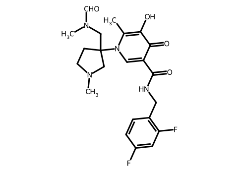 Cc1c(O)c(=O)c(C(=O)NCc2ccc(F)cc2F)cn1C1(CN(C)C=O)CCN(C)C1